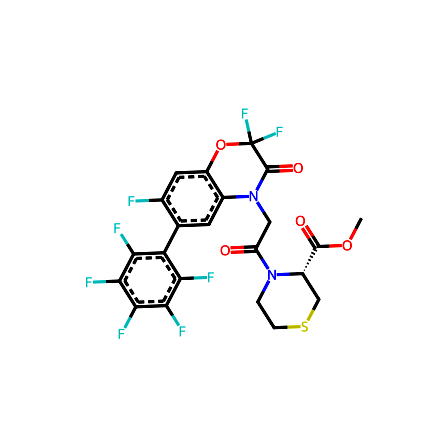 COC(=O)[C@@H]1CSCCN1C(=O)CN1C(=O)C(F)(F)Oc2cc(F)c(-c3c(F)c(F)c(F)c(F)c3F)cc21